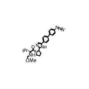 COCN[C@H](C(=O)N1CCCC1c1ncc(-c2ccc(-c3ccc(N=[N+]=[N-])cc3)cc2)[nH]1)C(C)C